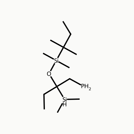 CCC(CP)(O[Si](C)(C)C(C)(C)CC)[SiH](C)C